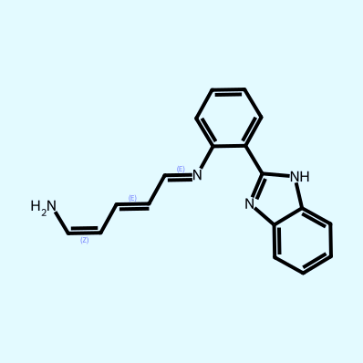 N\C=C/C=C/C=N/c1ccccc1-c1nc2ccccc2[nH]1